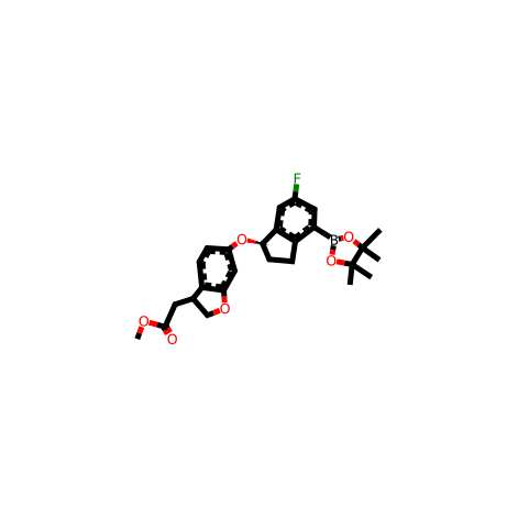 COC(=O)CC1COc2cc(O[C@@H]3CCc4c(B5OC(C)(C)C(C)(C)O5)cc(F)cc43)ccc21